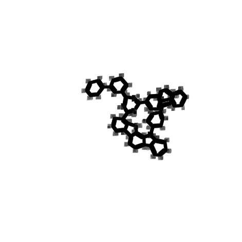 c1ccc(-c2ccc(-c3nc(-c4cccc(-c5ccccc5)c4)nc(-c4cccc5c4sc4c5ccc5c6ccccc6n(-c6ccc(-c7ccccc7)cc6)c54)n3)cc2)cc1